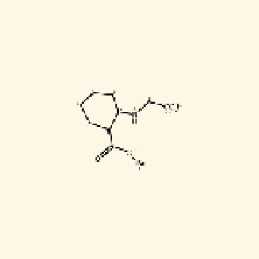 CC(C)(C)OC(=O)C1CCCCC1NCC(=O)O